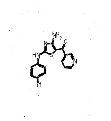 Nc1nc(Nc2ccc(Cl)cc2)sc1C(=O)c1cccnc1